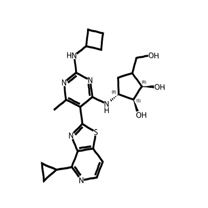 Cc1nc(NC2CCC2)nc(N[C@@H]2CC(CO)[C@@H](O)[C@H]2O)c1-c1nc2c(C3CC3)nccc2s1